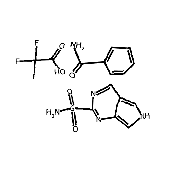 NC(=O)c1ccccc1.NS(=O)(=O)c1ncc2c[nH]cc2n1.O=C(O)C(F)(F)F